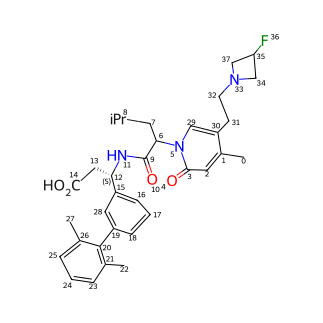 Cc1cc(=O)n(C(CC(C)C)C(=O)N[C@@H](CC(=O)O)c2cccc(-c3c(C)cccc3C)c2)cc1CCN1CC(F)C1